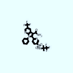 CC(C)(NS(=O)(=O)c1ccc(-c2c(C(N)=O)c3cc(C(F)(F)F)cnc3n2-c2ccccc2)nc1)C(F)(F)F